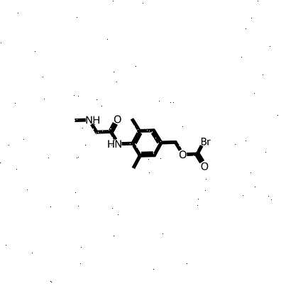 CNCC(=O)Nc1c(C)cc(COC(=O)Br)cc1C